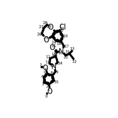 COc1ccc(OC)c(CN2CC[C@@H](C(=O)N(Cc3cc(Cl)c4c(c3)OCCCO4)CC(C)C)C2)c1